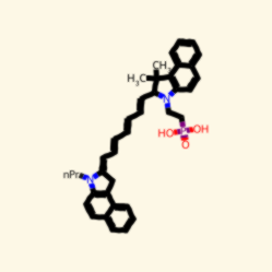 CCCN1/C(=C/C=C/C=C/C=C/C2N(CCP(=O)(O)O)c3ccc4ccccc4c3C2(C)C)Cc2c1ccc1ccccc21